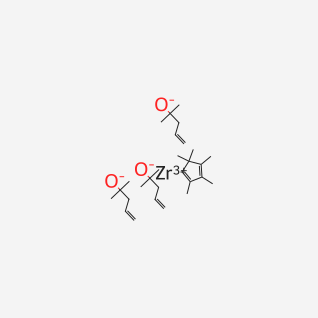 C=CCC(C)(C)[O-].C=CCC(C)(C)[O-].C=CCC(C)(C)[O-].CC1=C(C)C(C)(C)[C]([Zr+3])=C1C